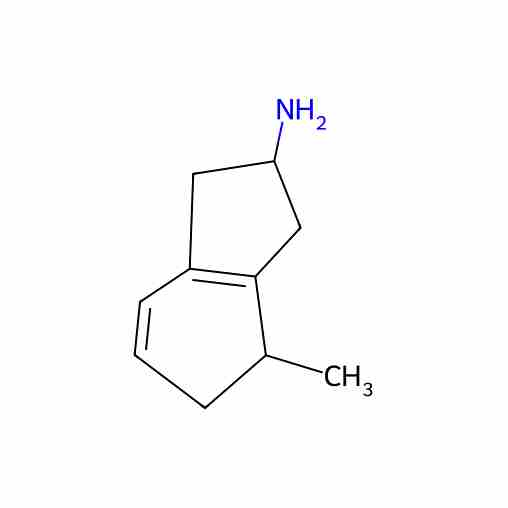 CC1CC=CC2=C1CC(N)C2